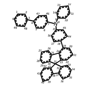 c1ccc(-c2ccc(N(c3ccccc3)c3ccc(-c4cccc5c4-c4ccccc4C54c5ccccc5-c5ccccc54)cc3)cc2)cc1